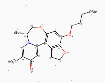 COCCCOc1cc2c(c3c1OCC3)-c1cc(=O)c(C(=O)O)cn1[C@H](C(C)(C)C)CO2